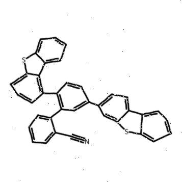 N#Cc1ccccc1-c1cc(-c2ccc3c(c2)sc2ccccc23)ccc1-c1cccc2sc3ccccc3c12